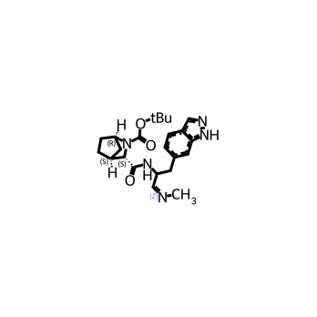 C/N=C\C(Cc1ccc2cn[nH]c2c1)NC(=O)[C@@H]1[C@H]2CC[C@H](C2)N1C(=O)OC(C)(C)C